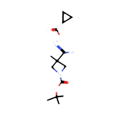 CC(C)(C)OC(=O)N1CC(C)(/C(N)=N/OC(=O)[C@@H]2C[C@@H]2F)C1